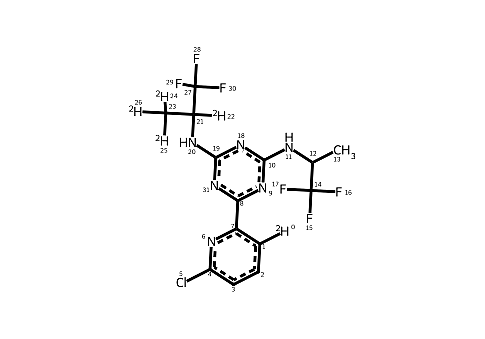 [2H]c1ccc(Cl)nc1-c1nc(NC(C)C(F)(F)F)nc(NC([2H])(C([2H])([2H])[2H])C(F)(F)F)n1